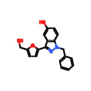 OCc1ccc(-c2nn(Cc3ccccc3)c3ccc(O)cc23)o1